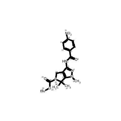 Cn1nc(NC(=O)c2ccc([N+](=O)[O-])cc2)c2c1C(C)(C)N(C(=O)OC(C)(C)C)C2